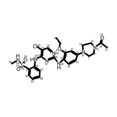 CCOc1cc(N2CCN(C(C)=O)CC2)ccc1Nc1ncc(Cl)c(Nc2ccccc2S(=O)(=O)NC)n1